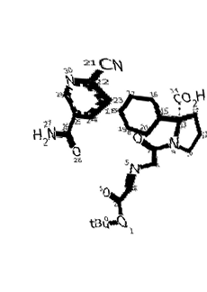 CC(C)(C)OC(=O)C=NCC(=O)N1CCC[C@]1(C(=O)O)C1CCCCC1.N#Cc1ccc(C(N)=O)cn1